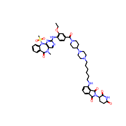 CCOc1cc(C(=O)N2CCC(N3CCN(CCCCCCNc4cccc5c4C(=O)N(C4CCC(=O)NC4=O)C5=O)CC3)CC2)ccc1Nc1ncc2c(n1)N(S(C)(=O)=O)c1ccccc1C(=O)N2C